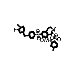 COc1cc2c(cc1S(=O)(=O)c1ccc(Cc3ccc(C)c(F)c3)cc1)CCN(C)CC2OS(=O)(=O)c1ccc(C)cc1